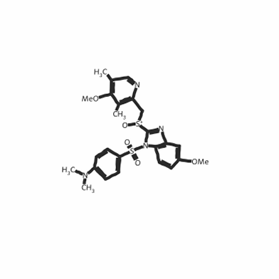 COc1ccc2c(c1)nc([S+]([O-])Cc1ncc(C)c(OC)c1C)n2S(=O)(=O)c1ccc(N(C)C)cc1